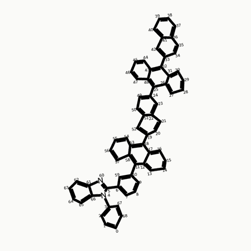 c1ccc(-n2c(-c3cccc(-c4c5ccccc5c(-c5ccc6cc(-c7c8ccccc8c(-c8ccc9ccccc9c8)c8ccccc78)ccc6c5)c5ccccc45)c3)nc3ccccc32)cc1